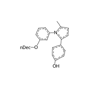 CCCCCCCCCCOc1cccc(-n2c(C)ccc2-c2ccc(O)cc2)c1